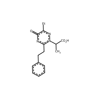 CCc1nn(C(C)C(=O)O)c(CCc2ccccc2)nc1=O